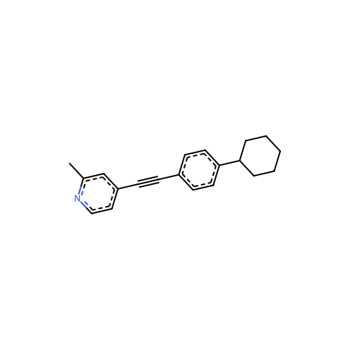 Cc1cc(C#Cc2ccc(C3CCCCC3)cc2)ccn1